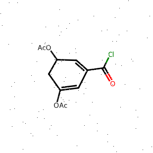 CC(=O)O[C]1C=C(C(=O)Cl)C=C(OC(C)=O)C1